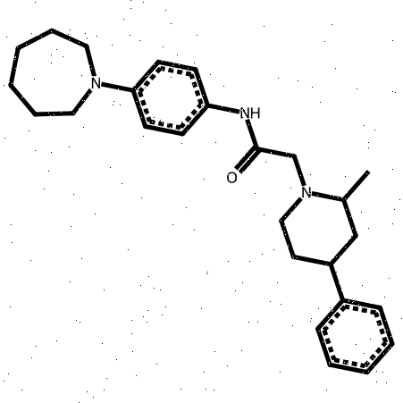 CC1CC(c2ccccc2)CCN1CC(=O)Nc1ccc(N2CCCCCC2)cc1